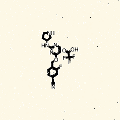 N#Cc1ccc(COc2ccnc(N[C@@H]3CCNC3)n2)c(F)c1.O=C(O)C(F)(F)F